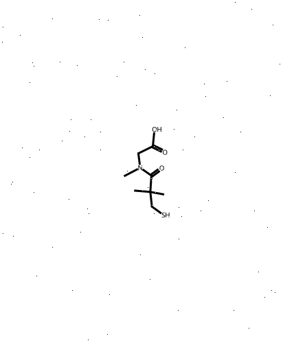 CN(CC(=O)O)C(=O)C(C)(C)CS